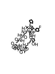 CC(C)[C@H](NC(=O)CCCCCN1C(=O)C=CC1O)C(=O)N[C@@H](C)C(=O)N[C@@H](CCC(=O)NCCNC(=O)[C@@H](N)CCN(C(=O)CO)[C@@H](c1cc(-c2cc(F)ccc2F)cn1Cc1ccccc1)C(C)(C)C)C(=O)O